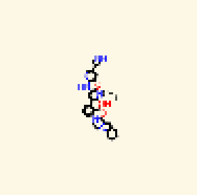 Cn1cc(-c2cccc(N3CCn4c(cc5c4CCCC5)C3=O)c2CO)cc(Nc2ccc(C3CNC3)cn2)c1=O